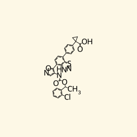 CC(OC(=O)Nc1cnoc1-c1ccc(-c2ccc(C3(C(=O)O)CC3)cc2)c2snnc12)c1ccccc1Cl